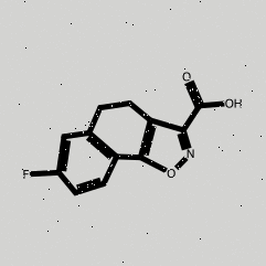 O=C(O)c1noc2c1CCc1cc(F)ccc1-2